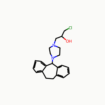 OC(CCl)CN1CCN(C2c3ccccc3CCc3ccccc32)CC1